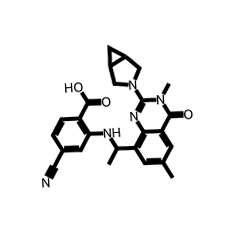 Cc1cc(C(C)Nc2cc(C#N)ccc2C(=O)O)c2nc(N3CC4CC4C3)n(C)c(=O)c2c1